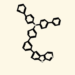 c1ccc(-c2ccc(N(c3ccc(-c4ccccc4)cc3)c3ccc(-c4cccc(-c5ccc6oc7cnccc7c6c5)c4)cc3)cc2)cc1